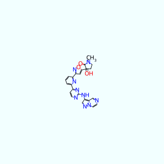 CN1CC[C@@](O)(c2cc(-c3cccc(-c4ccnc(Nc5cnn6ccncc56)n4)n3)no2)C1=O